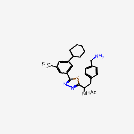 CC(=O)NC(Cc1ccc(CN)cc1)c1nnc(-c2cc(C3CCCCC3)cc(C(F)(F)F)c2)s1